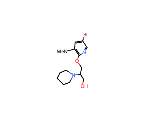 CNc1cc(Br)cnc1OCC(CO)N1CCCCC1